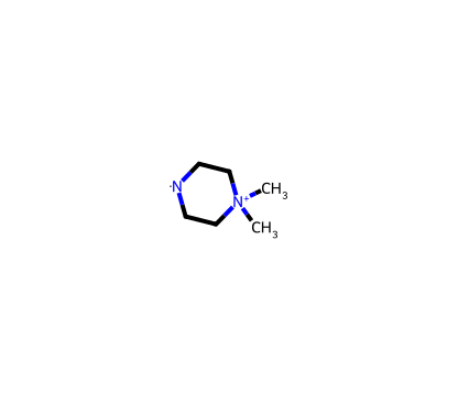 C[N+]1(C)CC[N]CC1